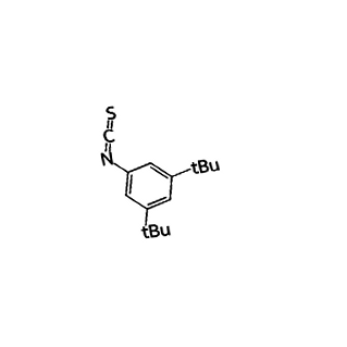 CC(C)(C)c1cc(N=C=S)cc(C(C)(C)C)c1